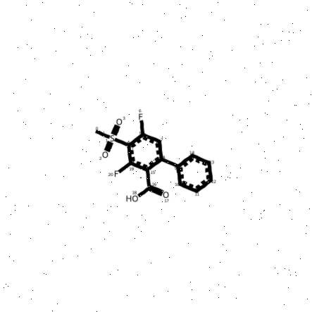 CS(=O)(=O)c1c(F)cc(-c2ccccc2)c(C(=O)O)c1F